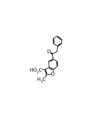 Cc1oc2ccc(C(=O)Cc3ccccc3)cc2c1C(=O)O